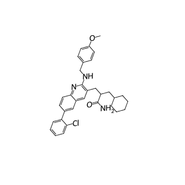 COc1ccc(CNc2nc3ccc(-c4ccccc4Cl)cc3cc2CC(CC2CCCCC2)C(N)=O)cc1